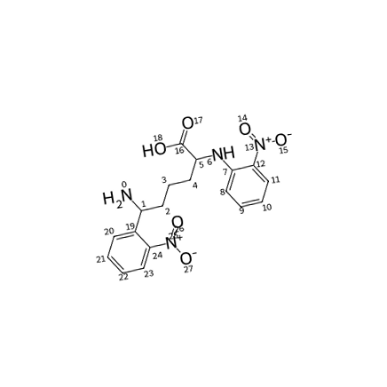 NC(CCCC(Nc1ccccc1[N+](=O)[O-])C(=O)O)c1ccccc1[N+](=O)[O-]